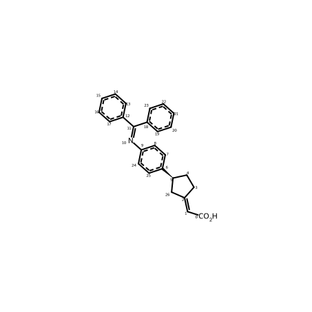 O=C(O)/C=C1\CC[C@H](c2ccc(N=C(c3ccccc3)c3ccccc3)cc2)C1